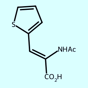 CC(=O)N/C(=C\c1cccs1)C(=O)O